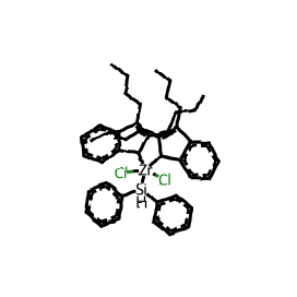 CCCCC1=C(CCCC)[CH]([Zr]([Cl])([Cl])([CH]2C(CCCC)=C(CCCC)c3ccccc32)[SiH](c2ccccc2)c2ccccc2)c2ccccc21